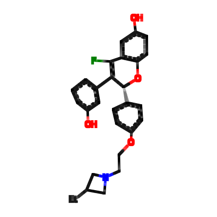 CCC1CN(CCOc2ccc([C@H]3Oc4ccc(O)cc4C(F)=C3c3cccc(O)c3)cc2)C1